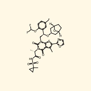 Cc1c(-c2ncco2)sc2c1c(=O)n([C@@H](C)C(=O)NS(=O)(=O)C1(C)CC1)c(=O)n2C[C@H](O[C@@H]1C[C@H]2CC[C@@H](C1)O2)c1cc(F)ccc1OC(F)F